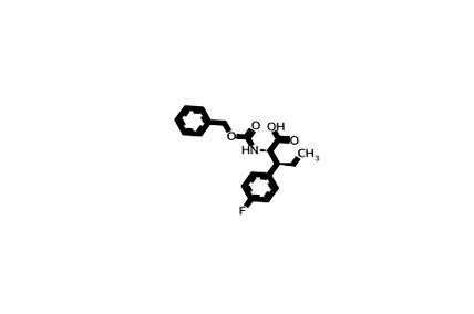 CC[C@@H](c1ccc(F)cc1)[C@H](NC(=O)OCc1ccccc1)C(=O)O